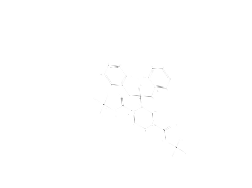 CC(C)(C)OC(=O)N1CCN(C(=O)OC(C)(C)C)C(C(O)(Cc2ccccc2)Cc2ccccc2)C1